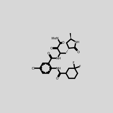 CNC(=O)C(=O)C(C[C@@H]1C[C@@H](C)NC1=O)NC(=O)c1cc(Cl)ccc1NC(=O)C1CCCC(F)(F)C1